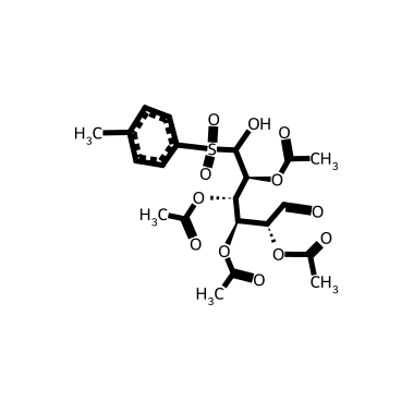 CC(=O)O[C@@H]([C@H](OC(C)=O)[C@H](OC(C)=O)C(O)S(=O)(=O)c1ccc(C)cc1)[C@H](C=O)OC(C)=O